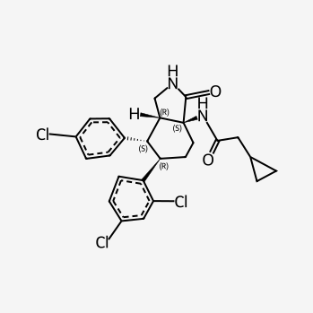 O=C(CC1CC1)N[C@@]12CC[C@@H](c3ccc(Cl)cc3Cl)[C@H](c3ccc(Cl)cc3)[C@@H]1CNC2=O